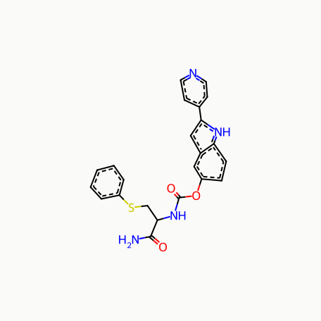 NC(=O)C(CSc1ccccc1)NC(=O)Oc1ccc2[nH]c(-c3ccncc3)cc2c1